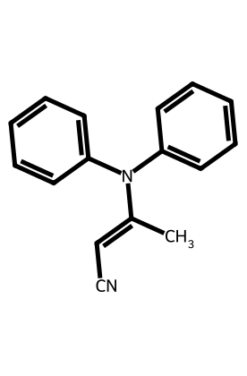 CC(=CC#N)N(c1ccccc1)c1ccccc1